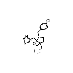 CCC12CCC(Cc3ccc(Cl)cc3)C1(Cn1cncn1)OC2